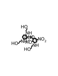 O=[N+]([O-])c1cc(NCCO)c(O)c([N+](=O)[O-])c1.O=[N+]([O-])c1cc(NCCO)ccc1NCCO